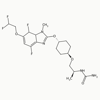 C[C@@H](CO[C@H]1CC[C@H](OC2=NC3=C(F)C=C(OCC(F)F)C(F)C3N2C)CC1)NC(N)=O